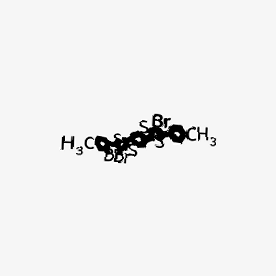 Cc1ccc(-c2sc3c(sc4cc5c(cc43)sc3c(Br)c(-c4ccc(C)cc4Br)sc35)c2Br)c(Br)c1